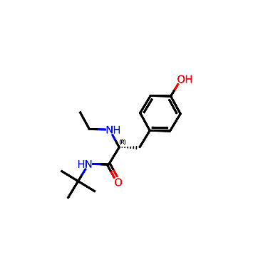 CCN[C@H](Cc1ccc(O)cc1)C(=O)NC(C)(C)C